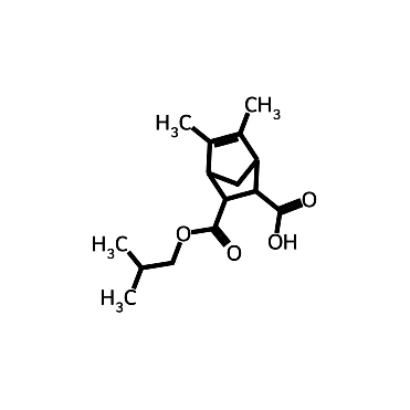 CC1=C(C)C2CC1C(C(=O)O)C2C(=O)OCC(C)C